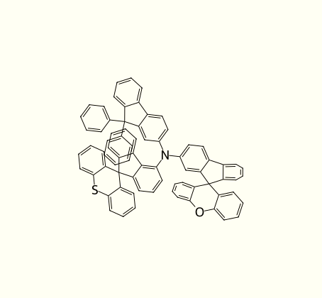 c1ccc(C2(c3ccccc3)c3ccccc3-c3ccc(N(c4ccc5c(c4)C4(c6ccccc6Oc6ccccc64)c4ccccc4-5)c4cccc5c4-c4ccccc4C54c5ccccc5Sc5ccccc54)cc32)cc1